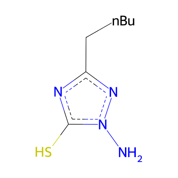 CCCCCc1nc(S)n(N)n1